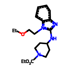 CCOCCn1c(NC2CCN(C(=O)OCC)CC2)nc2ccccc21